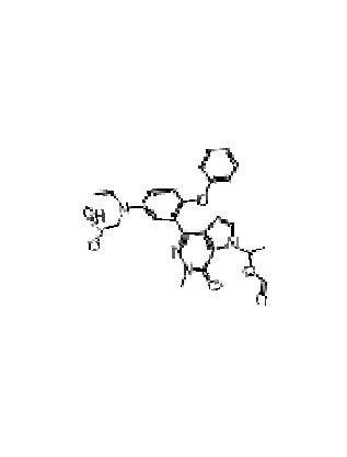 CCN(C[SH](=O)=O)c1ccc(Oc2ccccc2)c(-c2nn(C)c(=O)c3c2ccn3C(C)OC=O)c1